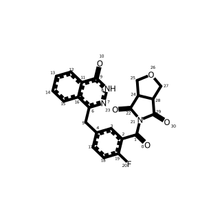 O=C(c1cc(Cc2n[nH]c(=O)c3ccccc23)ccc1F)N1C(=O)C2COCC2C1=O